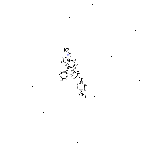 CN1CCN(Cc2cc(-c3ccncc3)c(-c3ccc4c(c3)CC/C4=N\O)o2)CC1